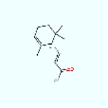 CCC(=O)C=C[C@@H]1C(C)=CCCC1(C)C